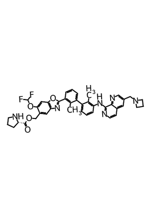 Cc1c(Nc2nccc3cc(CN4CCC4)cnc23)cccc1-c1cccc(-c2nc3cc(COC(=O)[C@@H]4CCCN4)c(OC(F)F)cc3o2)c1C